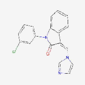 O=C1C(=Cn2ccnc2)c2ccccc2N1c1cccc(Cl)c1